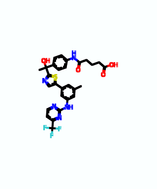 Cc1cc(Nc2nccc(C(F)(F)F)n2)cc(-c2cnc(C(C)(O)c3ccc(NC(=O)CCCC(=O)O)cc3)s2)c1